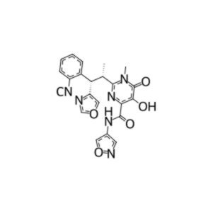 C[C@H](c1nc(C(=O)Nc2cnoc2)c(O)c(=O)n1C)[C@H](c1cocn1)c1ccccc1C#N